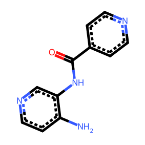 Nc1ccncc1NC(=O)c1ccncc1